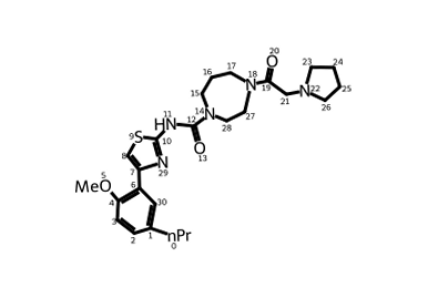 CCCc1ccc(OC)c(-c2csc(NC(=O)N3CCCN(C(=O)CN4CCCC4)CC3)n2)c1